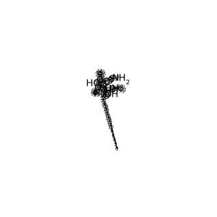 C#CC#CC#CC#CC#CC#CC#CC#CC#CC#CC#CC#CCC(=O)N[C@@H](CO[C@H]1OC(COCSSCN)[C@H](OCc2ccccc2)[C@H](O)C1OCc1ccccc1)[C@H](O)[C@H](O)COCCC1CCCCC1